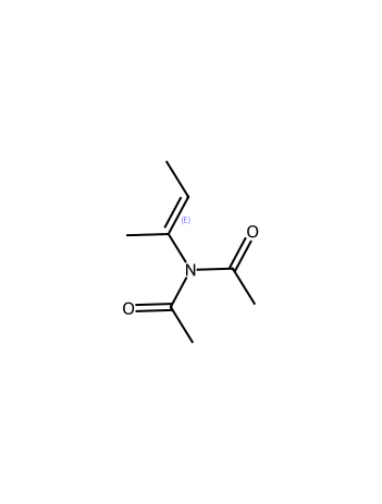 C/C=C(\C)N(C(C)=O)C(C)=O